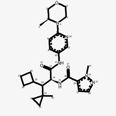 C[C@H]1COCCN1c1ccc(NC(=O)[C@@H](NC(=O)c2ccnn2C)C(C2CCC2)C2(C)CC2)cn1